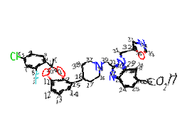 CC1(c2ccc(Cl)cc2F)Oc2cccc(C3CCN(Cc4nc5ccc(C(=O)O)cc5n4Cc4cnco4)CC3)c2O1